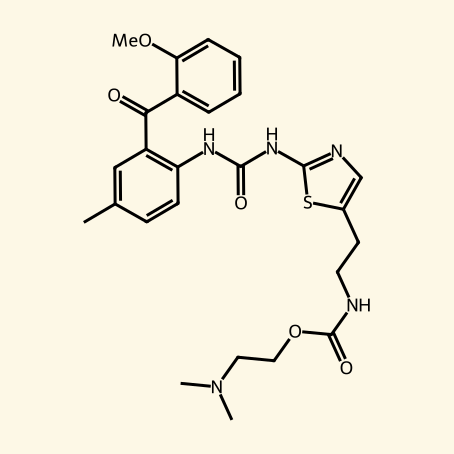 COc1ccccc1C(=O)c1cc(C)ccc1NC(=O)Nc1ncc(CCNC(=O)OCCN(C)C)s1